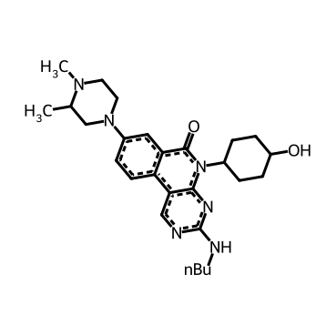 CCCCNc1ncc2c3ccc(N4CCN(C)C(C)C4)cc3c(=O)n(C3CCC(O)CC3)c2n1